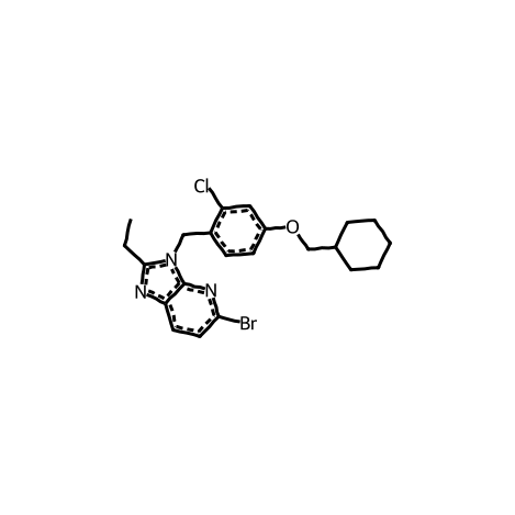 CCc1nc2ccc(Br)nc2n1Cc1ccc(OCC2CCCCC2)cc1Cl